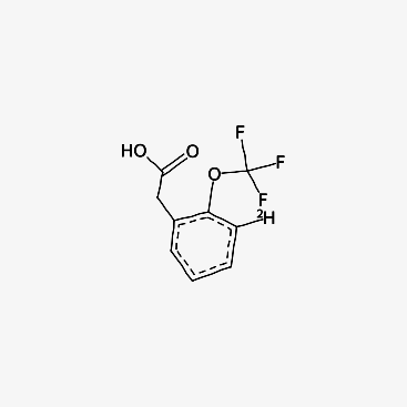 [2H]c1cccc(CC(=O)O)c1OC(F)(F)F